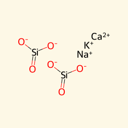 O=[Si]([O-])[O-].O=[Si]([O-])[O-].[Ca+2].[K+].[Na+]